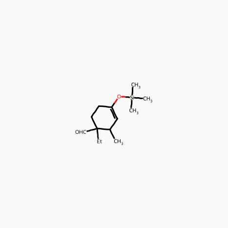 CCC1(C=O)CCC(O[Si](C)(C)C)=CC1C